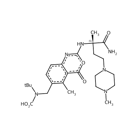 Cc1c(CN(C(=O)O)C(C)(C)C)ccc2nc(N[C@@](C)(CCN3CCN(C)CC3)C(N)=O)oc(=O)c12